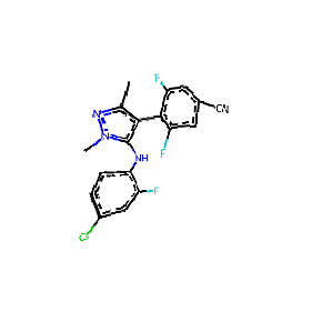 Cc1nn(C)c(Nc2ccc(Cl)cc2F)c1-c1c(F)cc(C#N)cc1F